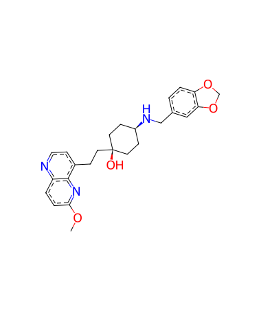 COc1ccc2nccc(CC[C@]3(O)CC[C@@H](NCc4ccc5c(c4)OCO5)CC3)c2n1